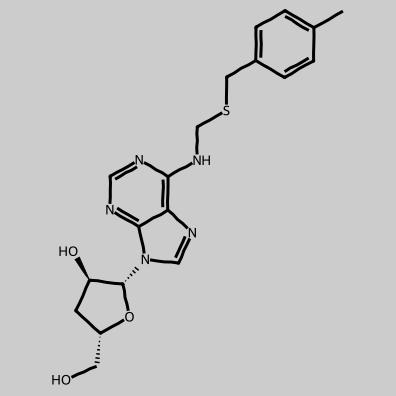 Cc1ccc(CSCNc2ncnc3c2ncn3[C@@H]2O[C@H](CO)C[C@H]2O)cc1